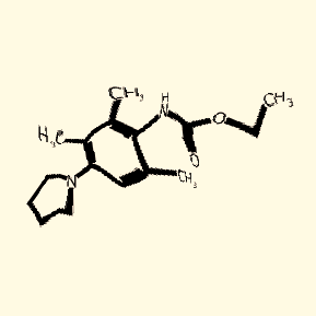 CCOC(=O)Nc1c(C)cc(N2CCCC2)c(C)c1C